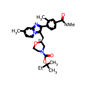 CCC(C)(C)OC(=O)N1CCO[C@@H](Cc2c(-c3ccc(C(=O)NC)cc3C)nc3cc(C)ccn23)C1